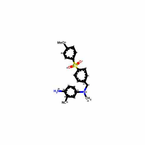 COc1ccc(S(=O)(=O)c2ccc(CN(C)c3ccc(N)c(C#N)c3)cc2)cc1